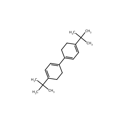 CC(C)(C)C1=CC=C(C2=CC=C(C(C)(C)C)CC2)CC1